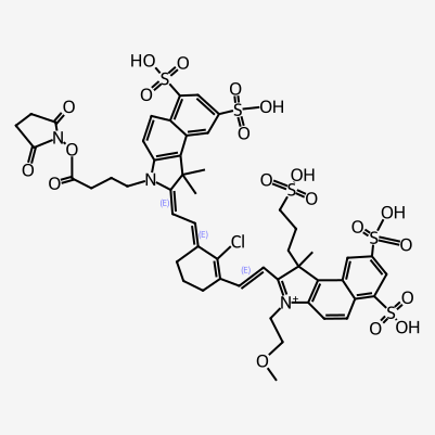 COCC[N+]1=C(/C=C/C2=C(Cl)C(=C/C=C3/N(CCCC(=O)ON4C(=O)CCC4=O)c4ccc5c(S(=O)(=O)O)cc(S(=O)(=O)O)cc5c4C3(C)C)/CCC2)C(C)(CCCS(=O)(=O)O)c2c1ccc1c(S(=O)(=O)O)cc(S(=O)(=O)O)cc21